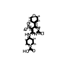 O=C(O)N1CCC(Nc2nc(Cl)nc(C3=CCOCC3)c2[N+](=O)[O-])CC1